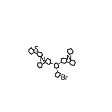 Brc1cccc(-c2cc(-c3ccc4c(c3)c3ccccc3n4-c3ccccc3)cc(-c3ccc4c(c3)c3ccccc3n4-c3ccc4sc5ccccc5c4c3)c2)c1